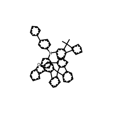 CC1(C)c2ccccc2-c2ccc(N(c3ccc(-c4ccccc4)cc3)c3ccccc3-c3cccc4c3C3(c5ccccc5-4)c4ccccc4-c4c3ccc3oc5ccccc5c43)cc21